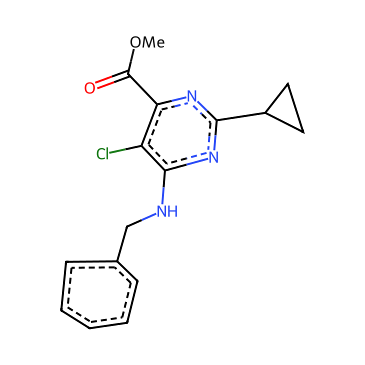 COC(=O)c1nc(C2CC2)nc(NCc2ccccc2)c1Cl